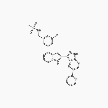 CS(=O)(=O)NCc1cc(F)cc(-c2cccc3[nH]c(-c4n[nH]c5ccc(-c6ccccn6)nc45)cc23)c1